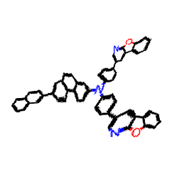 c1ccc2cc(-c3ccc4c(ccc5cc(N(c6ccc(-c7cnc8oc9ccccc9c8c7)cc6)c6ccc(-c7cnc8oc9ccccc9c8c7)cc6)ccc54)c3)ccc2c1